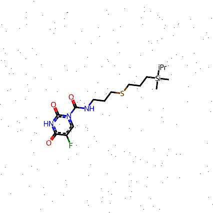 CC(C)[Si](C)(C)CCCSCCCNC(=O)n1cc(F)c(=O)[nH]c1=O